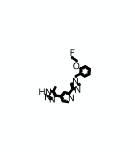 Cc1[nH]nnc1-c1ccnc(-c2cn(Cc3ccccc3OCCF)cn2)c1